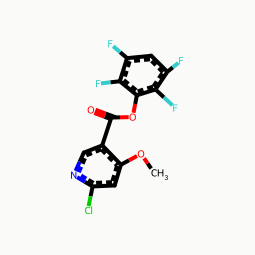 COc1cc(Cl)ncc1C(=O)Oc1c(F)c(F)cc(F)c1F